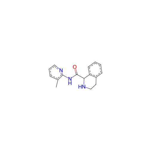 Cc1cccnc1NC(=O)C1NCCc2ccccc21